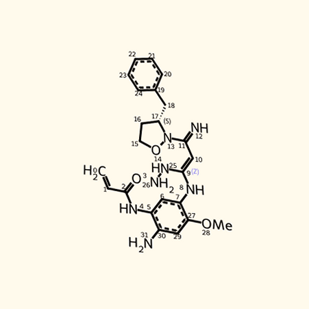 C=CC(=O)Nc1cc(N/C(=C/C(=N)N2OCC[C@@H]2Cc2ccccc2)NN)c(OC)cc1N